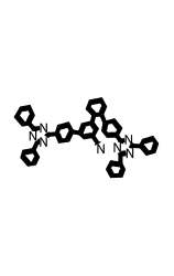 N#Cc1cc(-c2ccc(-c3nc(-c4ccccc4)nc(-c4ccccc4)n3)cc2)cc(-c2ccccc2-c2ccc(-c3nc(-c4ccccc4)nc(-c4ccccc4)n3)cc2)c1